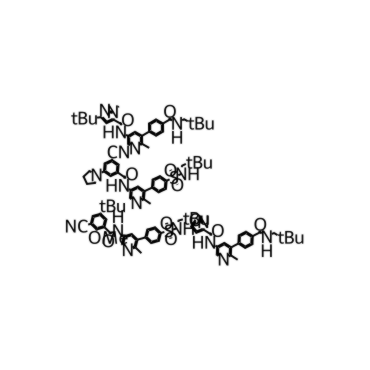 COc1c(C#N)cc(C(C)(C)C)cc1C(=O)Nc1cnc(C)c(-c2ccc(S(=O)(=O)NCC(C)(C)C)cc2)c1.Cc1ncc(NC(=O)c2cc(C#N)cc(N3CCCC3)c2)cc1-c1ccc(S(=O)(=O)NCC(C)(C)C)cc1.Cc1ncc(NC(=O)c2cc(C(C)(C)C)nn2C)cc1-c1ccc(C(=O)NCC(C)(C)C)cc1.Cc1ncc(NC(=O)c2ccon2)cc1-c1ccc(C(=O)NCC(C)(C)C)cc1